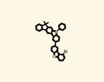 CC1(C)c2ccccc2-c2cc3c4cc(-c5ccc6oc7cccc(Br)c7c6c5)ccc4n(-c4ccccc4)c3cc21